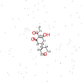 CCC(=O)C1=C(O)CC(C2=CCOCC2)CC1=O